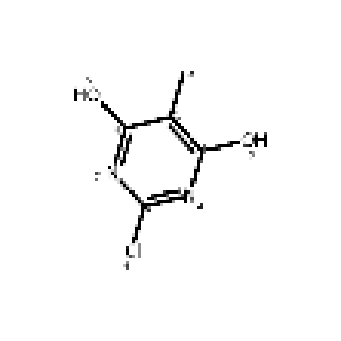 Cc1c(O)nc(Cl)nc1O